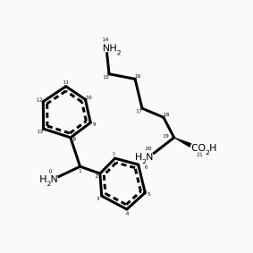 NC(c1ccccc1)c1ccccc1.NCCCC[C@H](N)C(=O)O